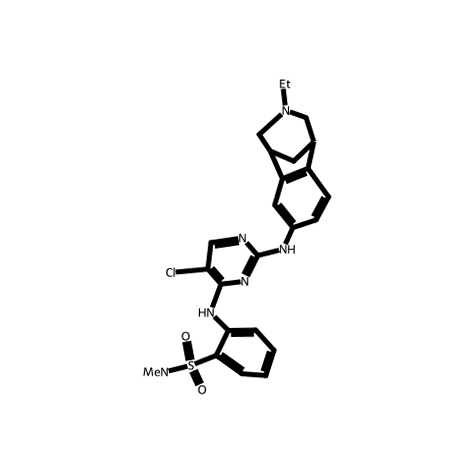 CCN1CC2CC(C1)c1cc(Nc3ncc(Cl)c(Nc4ccccc4S(=O)(=O)NC)n3)ccc12